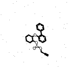 C#CCOS(=O)OC1CCCCC1Oc1ccccc1-c1ccccc1